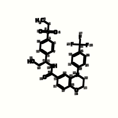 CCS(=O)(=O)c1ccc([C@H](CO)NC(=O)c2ccc3c(c2)N(c2ccc(C(F)(F)F)cc2)CCO3)cc1